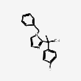 CC(O)(c1ccc(Cl)cc1)c1nccn1Cc1ccccc1